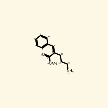 COC(=O)C(=Cc1ccccc1)CCCN